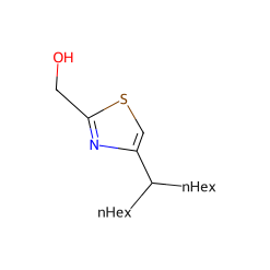 CCCCCCC(CCCCCC)c1csc(CO)n1